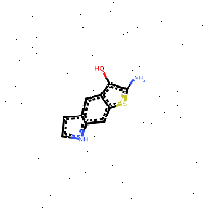 Nc1sc2cc3[nH]ccc3cc2c1O